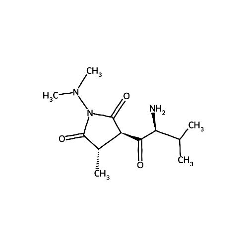 CC(C)[C@H](N)C(=O)[C@@H]1C(=O)N(N(C)C)C(=O)[C@H]1C